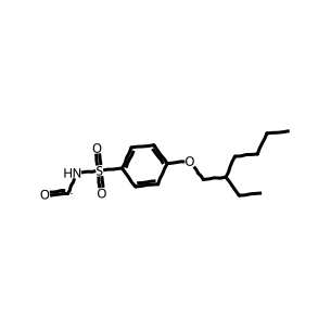 CCCCC(CC)COc1ccc(S(=O)(=O)N[C]=O)cc1